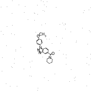 COc1ccc(-n2nnc3cc(C(=O)N4CCCCC4)ccc32)cc1